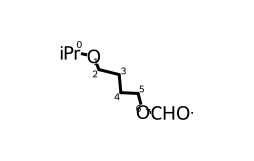 CC(C)OCCCCO[C]=O